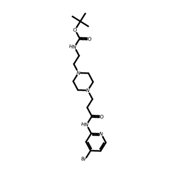 CC(C)(C)OC(=O)NCCN1CCN(CCC(=O)Nc2cc(Br)ccn2)CC1